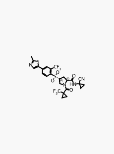 Cc1ncc(-c2ccc(S(=O)(=O)[C@@H]3C[C@@H](C(=O)NC4(C#N)CC4)N(C(=O)C4(C(F)(F)F)CC4)C3)c(C(F)(F)F)c2)s1